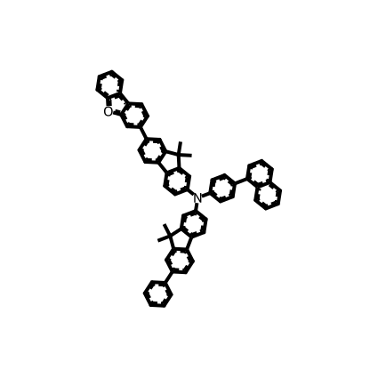 CC1(C)c2cc(-c3ccccc3)ccc2-c2ccc(N(c3ccc(-c4cccc5ccccc45)cc3)c3ccc4c(c3)C(C)(C)c3cc(-c5ccc6c(c5)oc5ccccc56)ccc3-4)cc21